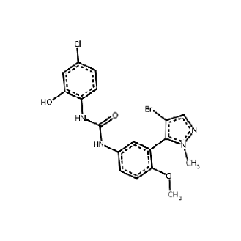 COc1ccc(NC(=O)Nc2ccc(Cl)cc2O)cc1-c1c(Br)cnn1C